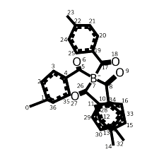 Cc1ccc(C(=O)[B-](C(=O)c2ccc(C)cc2)(C(=O)c2ccc(C)cc2)C(=O)c2ccc(C)cc2)cc1